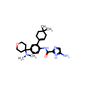 CN(C)C1(c2ccc(NC(=O)c3ncc(N)[nH]3)c(C3=CCC(C)(C)CC3)c2)CCOCC1